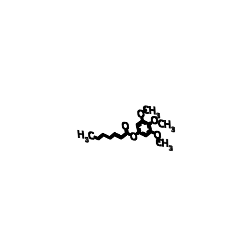 CCCCC=CC(=O)Oc1cc(OC)c(OC)c(OC)c1